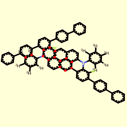 [2H]c1c([2H])c([2H])c(N(c2c(-c3ccc(-c4ccccc4)cc3)ccc(-c3ccc(-c4ccccc4)cc3)c2F)c2ccc3ccc4c(N(c5c([2H])c([2H])c([2H])c([2H])c5[2H])c5c(-c6ccc(-c7ccccc7)cc6)ccc(-c6ccc(-c7ccccc7)cc6)c5F)ccc5ccc2c3c54)c([2H])c1[2H]